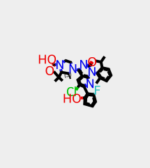 Cc1cccc(C(C)C)c1-n1c(=O)nc(N2CCN(C(=O)O)C(C(C)(C)C)[C@@H]2C)c2cc(Cl)c(-c3c(O)cccc3F)nc21